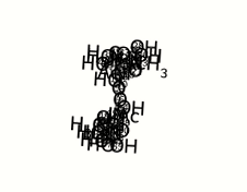 CC(=O)N(CC(O)COCCOCC(O)CN(C(C)=O)c1c(I)c(C(=O)N(C)CC(O)CO)c(I)c(C(=O)N(C)CC(O)CO)c1I)c1c(I)c(C(=O)N(C)CC(O)CO)c(I)c(C(=O)N(C)CC(O)CO)c1I